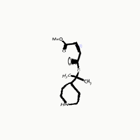 COC(=O)/C=C\C(=O)OC(C)(C)C1CCNCC1